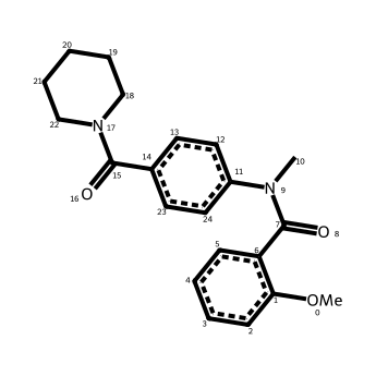 COc1ccccc1C(=O)N(C)c1ccc(C(=O)N2CCCCC2)cc1